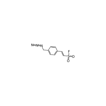 [N-]=[N+]=NCc1ccc(/C=C/S(=O)(=O)F)cc1